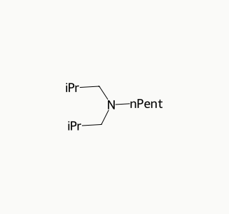 [CH2]CCCCN(CC(C)C)CC(C)C